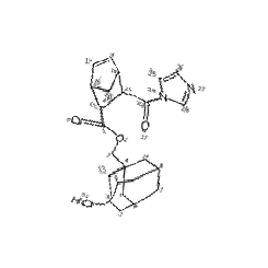 O=C(OCC12CC3CC(CC(O)(C3)C1)C2)C1C2C=CC(C2)C1C(=O)n1ccnc1